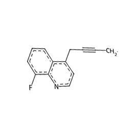 [CH2]C#CCc1ccnc2c(F)cccc12